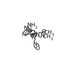 COC1CN(c2ccc([N+]34N=C(N)N=C3C=NC=C4c3cnn(CCN4CCOCC4)c3)cc2)CCN1C